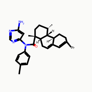 Cc1ccc(N(C(=O)[C@]2(C)CC[C@H](C)[C@H]3[C@H]2CC=C2C=C(C(C)C)CC[C@@H]23)c2cc(N)ncn2)cc1